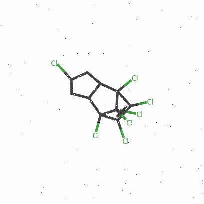 ClC1=C(Cl)C2(Cl)C3CC(Cl)CC3C1(Cl)C2(Cl)Cl